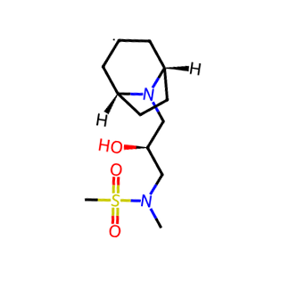 CN(C[C@@H](O)CN1[C@@H]2C[CH]C[C@H]1CC2)S(C)(=O)=O